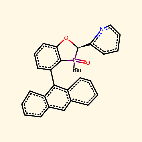 CC(C)(C)P1(=O)c2c(cccc2-c2c3ccccc3cc3ccccc23)O[C@H]1c1ccccn1